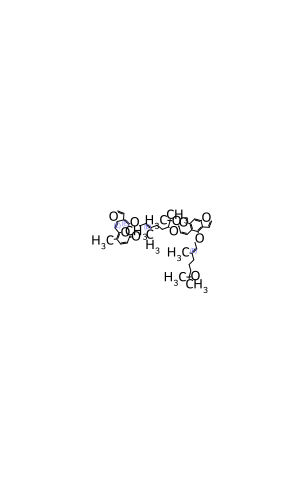 C/C(=C\COc1c2c(cc3occc13)OC1(C=C2)OC(CC/C(C)=C/CO/C(C)=c2\cco\c2=C\c2oc(=O)ccc2C)C(C)(C)O1)CCC1OC1(C)C